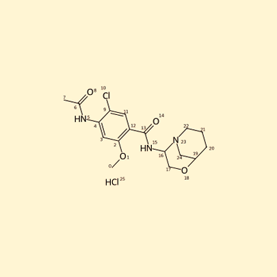 COc1cc(NC(C)=O)c(Cl)cc1C(=O)NC1COC2CCCN1C2.Cl